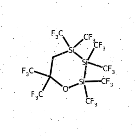 FC(F)(F)C1(C(F)(F)F)C[Si](C(F)(F)F)(C(F)(F)F)[Si](C(F)(F)F)(C(F)(F)F)[Si](C(F)(F)F)(C(F)(F)F)O1